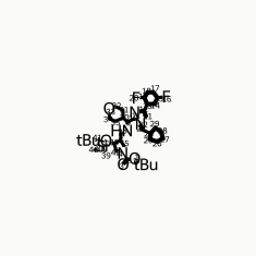 CC(C)(C)OC(=O)N1CC(CNC(c2nc(-c3cc(F)ccc3F)cn2Cc2ccccc2)C2CCOCC2)C(O[Si](C)(C)C(C)(C)C)C1